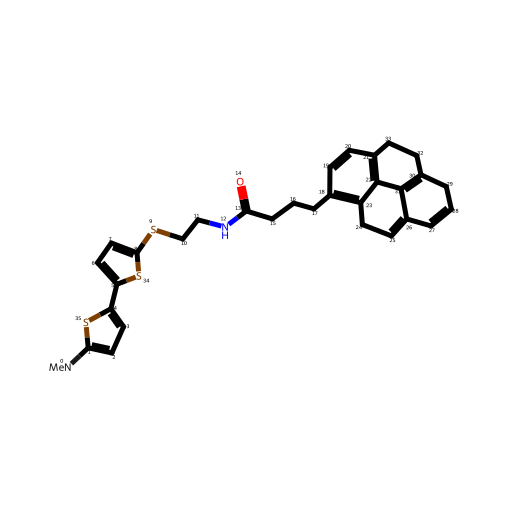 CNc1ccc(-c2ccc(SCCNC(=O)CCCc3ccc4c5c3CC=C3C=CCC(=C35)CC4)s2)s1